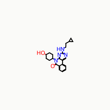 O=c1c2ccccc2c2cnc(NCCC3CC3)nc2n1C1CCC(O)CC1